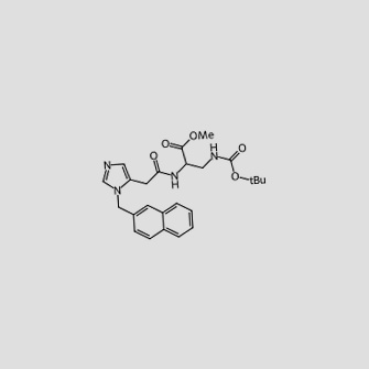 COC(=O)C(CNC(=O)OC(C)(C)C)NC(=O)Cc1cncn1Cc1ccc2ccccc2c1